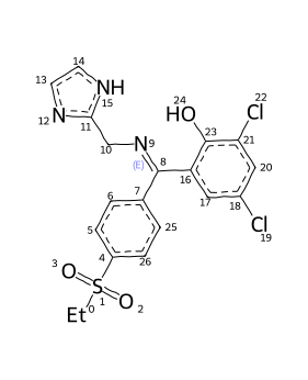 CCS(=O)(=O)c1ccc(/C(=N\Cc2ncc[nH]2)c2cc(Cl)cc(Cl)c2O)cc1